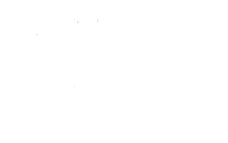 CCCCCC(/C=C/C1(CCCCCCO)CCCCC1)OC(C)=O